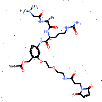 CNC(=O)OCc1ccc(NC(=O)[C@H](CCCNC(N)=O)NC(=O)[C@@H](NC(=O)CN(C)C)C(C)C)cc1OCCOCCNC(=O)CCN1C(=O)C=CC1=O